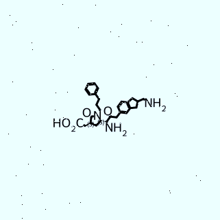 NCC1Cc2ccc(CC(=O)C(N)[C@@H]3C[C@@H](CC(=O)O)C(=O)N3CCCc3ccccc3)cc2C1